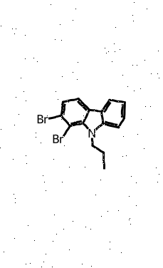 CCCn1c2ccccc2c2ccc(Br)c(Br)c21